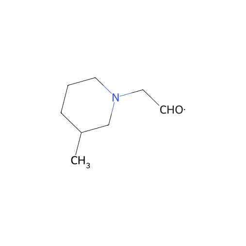 CC1CCCN(C[C]=O)C1